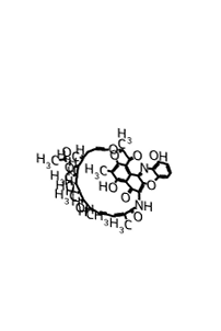 CC(=O)O[C@H]1[C@H](C)[C@H](O)[C@H](C)[C@@H](O)[C@@H](C)/C=C/C=C(/C)C(=O)Nc2c3oc4cccc(O)c4nc-3c3c4c(c(C)c(O)c3c2=O)O[C@](C)(O/C=C/C[C@H]1C)C4=O